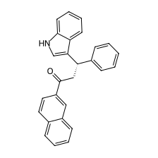 O=C(C[C@@H](c1ccccc1)c1c[nH]c2ccccc12)c1ccc2ccccc2c1